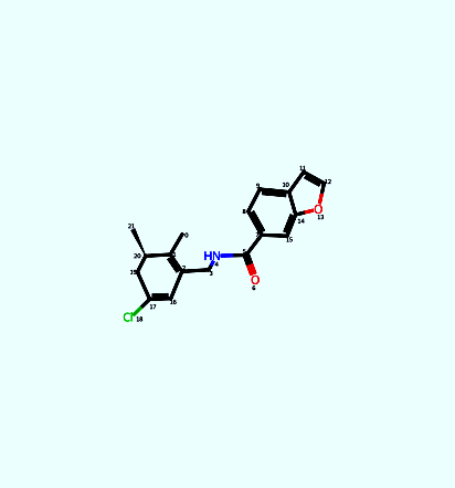 CC1=C(CNC(=O)c2ccc3ccoc3c2)C=C(Cl)C[C@H]1C